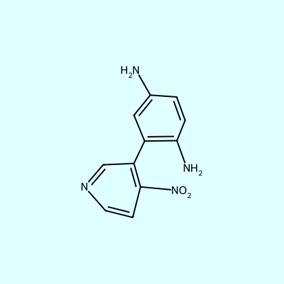 Nc1ccc(N)c(-c2cnccc2[N+](=O)[O-])c1